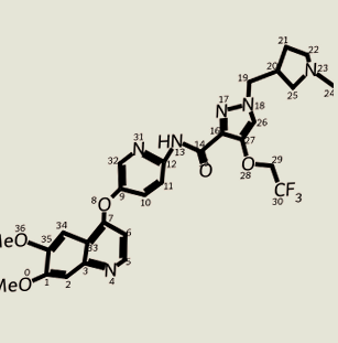 COc1cc2nccc(Oc3ccc(NC(=O)c4nn(CC5CCN(C)C5)cc4OCC(F)(F)F)nc3)c2cc1OC